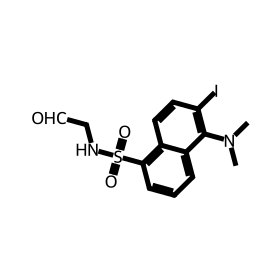 CN(C)c1c(I)ccc2c(S(=O)(=O)NCC=O)cccc12